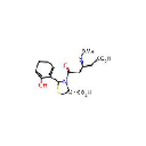 CON=C(CC(=O)O)CC(=O)N1C(c2ccccc2O)SC[C@H]1C(=O)O